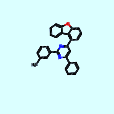 Cc1cccc(-c2nc(-c3ccccc3)cc(-c3cccc4oc5ccccc5c34)n2)c1